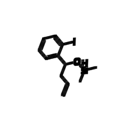 C=CCC(O[SiH](C)C)c1ccccc1I